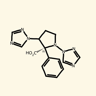 O=C(O)[C@]1(c2ccccc2)C(n2cncn2)CCN1n1cncn1